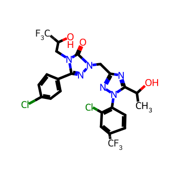 CC(O)c1nc(Cn2nc(-c3ccc(Cl)cc3)n(CC(O)C(F)(F)F)c2=O)nn1-c1ccc(C(F)(F)F)cc1Cl